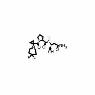 C#C[C@H](CC(N)=O)NC(=O)C1CCCN1C(=O)C1(N2CCC(F)(F)CC2)CC1